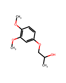 COc1ccc(OCC(C)O)cc1OC